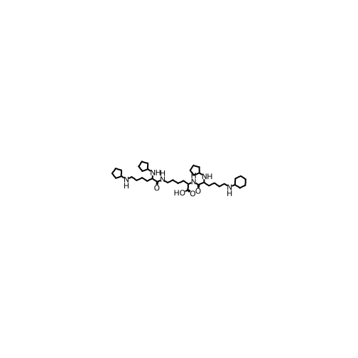 O=C(O)C(CCCCNC(=O)C(CCCCNC1CCCC1)NC1CCCC1)NC(=O)C(CCCCNC1CCCCC1)NC1CCCC1